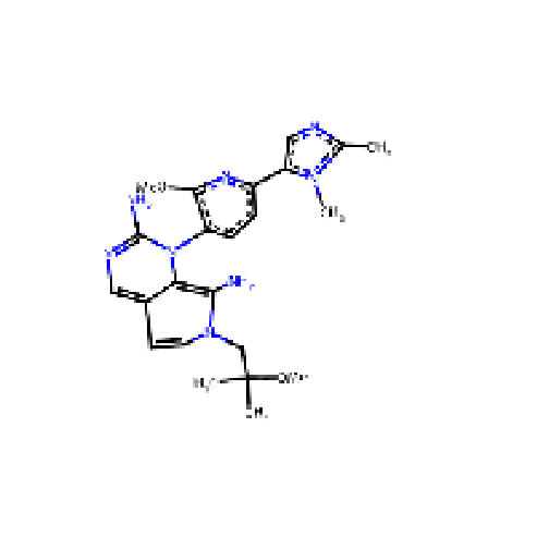 COc1nc(-c2cnc(C)n2C)ccc1N1C(N)=NC=C2C=CN(CC(C)(C)OC)C(N)=C21